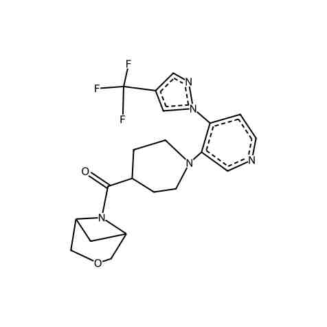 O=C(C1CCN(c2cnccc2-n2cc(C(F)(F)F)cn2)CC1)N1C2COCC1C2